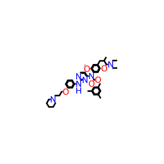 CCN(CC)C(=O)C(C)Cc1ccc(N(C(=O)Oc2c(C)cc(C)cc2C)c2ccnc(Nc3cccc(OCCCN4CCCCC4)c3)n2)c(OC)c1